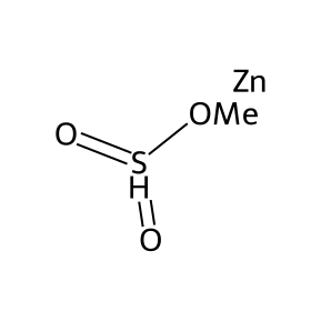 CO[SH](=O)=O.[Zn]